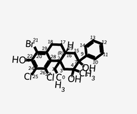 CCC12CC(C)(O)C(O)(c3ccccc3)C[C@H]1CCc1c(Br)c(O)c(Cl)c(Cl)c12